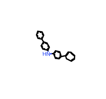 C1=CC=C(c2ccc(Nc3ccc(-c4ccccc4)cc3)cc2)CC=C1